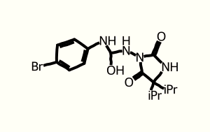 CC(C)C1(C(C)C)NC(=O)N(NC(O)Nc2ccc(Br)cc2)C1=O